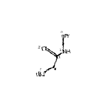 CCCNC(=O)CC(C)(C)C